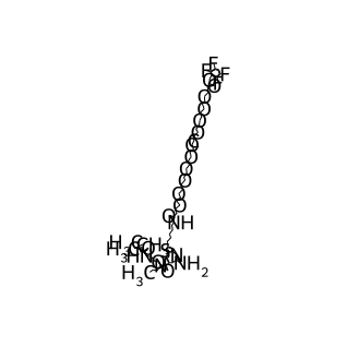 CCCN(OCCNC(=O)CC(C)(C)C)C(=O)C1=Cc2sc(CCCCCNC(=O)CCOCCOCCOCCOCCOCCOCCOCCOCCOCCOCCC(=O)Oc3c(F)c(F)cc(F)c3F)cc2N=C(N)C1